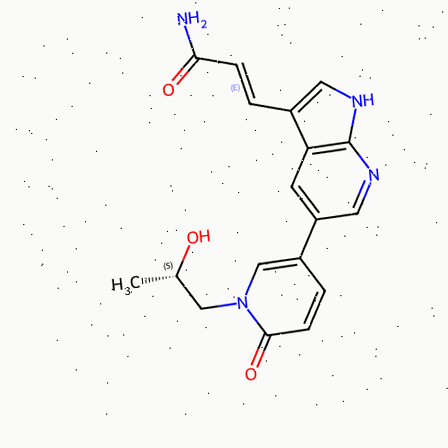 C[C@H](O)Cn1cc(-c2cnc3[nH]cc(/C=C/C(N)=O)c3c2)ccc1=O